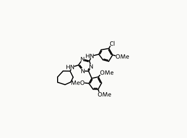 COc1cc(OC)c(-c2nc(Nc3ccc(OC)c(Cl)c3)nc(NC3CCCCCC3)n2)c(OC)c1